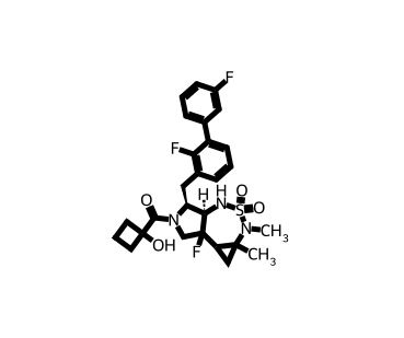 CN1C2(C)CC2C2(F)CN(C(=O)C3(O)CCC3)[C@@H](Cc3cccc(-c4cccc(F)c4)c3F)[C@H]2NS1(=O)=O